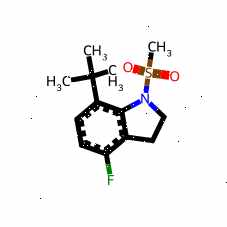 CC(C)(C)c1ccc(F)c2c1N(S(C)(=O)=O)CC2